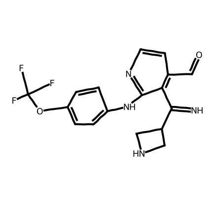 N=C(c1c(C=O)ccnc1Nc1ccc(OC(F)(F)F)cc1)C1CNC1